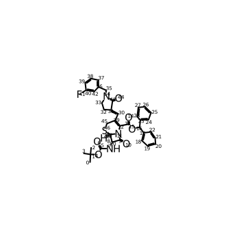 CC(C)(C)OC(=O)N[C@@H]1C(=O)N2C(C(=O)OC(c3ccccc3)c3ccccc3)=C(C=C3CCN(Cc4cccc(F)c4)C3=O)CS[C@H]12